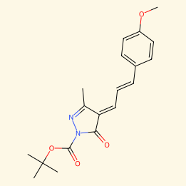 COc1ccc(/C=C/C=C2/C(=O)N(C(=O)OC(C)(C)C)N=C2C)cc1